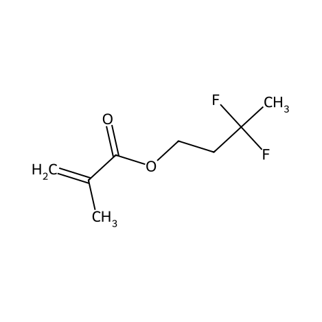 C=C(C)C(=O)OCCC(C)(F)F